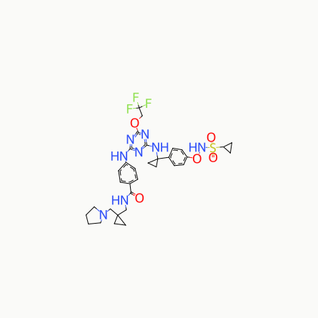 O=C(NCC1(CN2CCCC2)CC1)c1ccc(Nc2nc(NC3(c4ccc(ONS(=O)(=O)C5CC5)cc4)CC3)nc(OCC(F)(F)F)n2)cc1